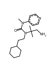 CN(C(=O)N(CCC1CCCCC1)C(C)(C)CN)c1ccncc1